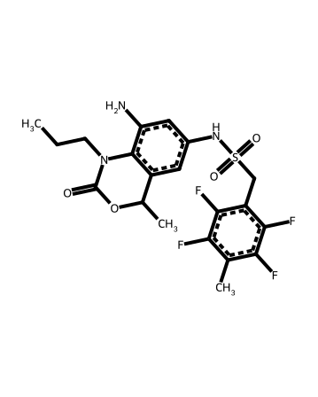 CCCN1C(=O)OC(C)c2cc(NS(=O)(=O)Cc3c(F)c(F)c(C)c(F)c3F)cc(N)c21